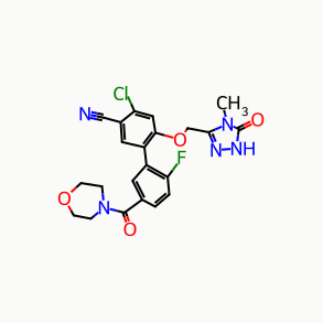 Cn1c(COc2cc(Cl)c(C#N)cc2-c2cc(C(=O)N3CCOCC3)ccc2F)n[nH]c1=O